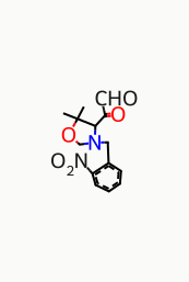 CC1(C)OCN(Cc2ccccc2[N+](=O)[O-])C1C(=O)C=O